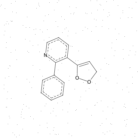 C1=C(c2cccnc2-c2ccccc2)OOC1